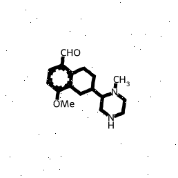 COc1ccc(C=O)c2c1CC(C1CNCCN1C)CC2